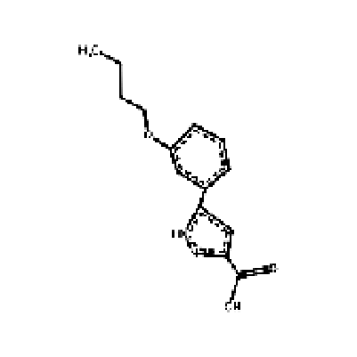 CCCCOc1cccc(-c2cc(C(=O)O)n[nH]2)c1